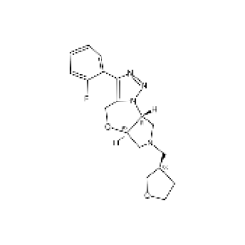 Fc1ccccc1-c1nnn2c1CO[C@@H]1CN(C[C@H]3CCOC3)C[C@H]12